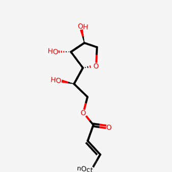 CCCCCCCCC=CC(=O)OC[C@@H](O)[C@H]1OC[C@H](O)[C@H]1O